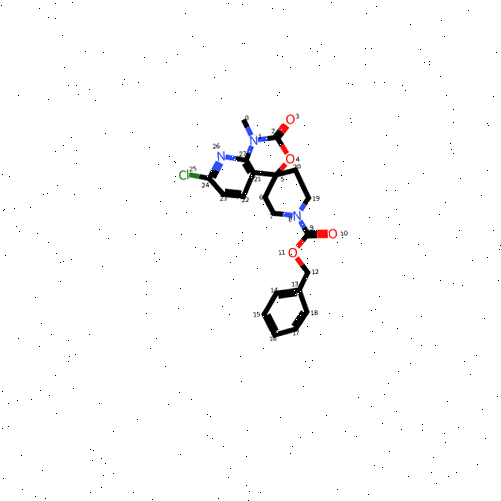 CN1C(=O)OC2(CCN(C(=O)OCc3ccccc3)CC2)c2ccc(Cl)nc21